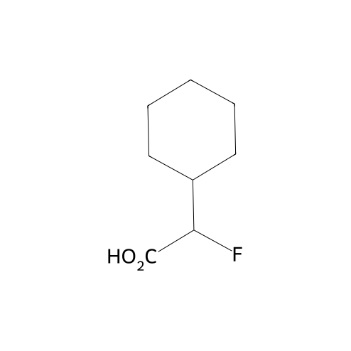 O=C(O)C(F)C1CCCCC1